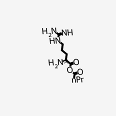 CCCC(=O)OC(=O)[C@@H](N)CCCNC(=N)N